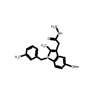 COc1ccc2c(c1)c(CC(=O)NN)c(C)n2Cc1cccc(C)c1